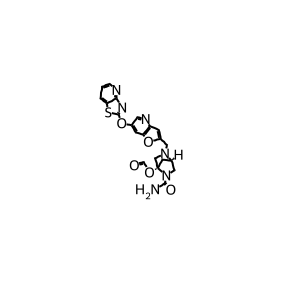 NC(=O)N1C[C@@H]2C[C@]1(OC=O)CN2Cc1cc2ncc(Oc3nc4ncccc4s3)cc2o1